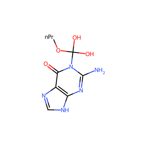 CCCOC(O)(O)n1c(N)nc2[nH]cnc2c1=O